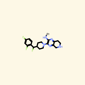 CC(C)Nc1nc2c(nc1N1CCC(C(F)c3ccc(F)cc3F)CC1)CNCC2